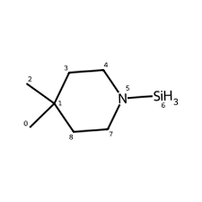 CC1(C)CCN([SiH3])CC1